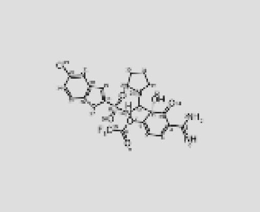 N=C(N)C1=CC=C(OC(=O)C(F)(F)F)[C@@](O)(C(NS(=O)(=O)c2cc3nc(Cl)ccc3s2)N2CCCC2)C1=O